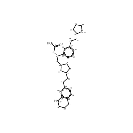 O=C(O)C[C@@H](CN1CC[C@@H](CCc2ccc3c(n2)NCCC3)C1)c1cccc(OC[C@@H]2CCCO2)c1